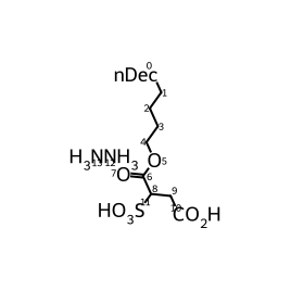 CCCCCCCCCCCCCCOC(=O)C(CC(=O)O)S(=O)(=O)O.N.N